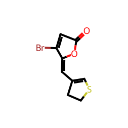 O=C1C=C(Br)/C(=C/C2=CSCC2)O1